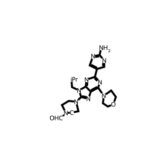 CC(C)Cn1c(N2CCN(C=O)CC2)nc2c(N3CCOCC3)nc(-c3cnc(N)nc3)nc21